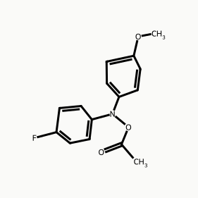 COc1ccc(N(OC(C)=O)c2ccc(F)cc2)cc1